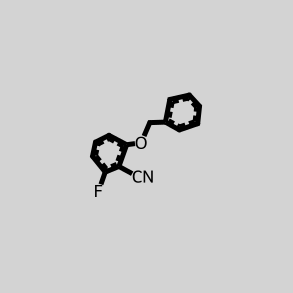 N#Cc1c(F)cccc1OCc1ccccc1